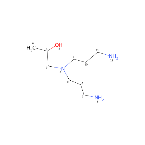 CC(O)CN(CCCN)CCCN